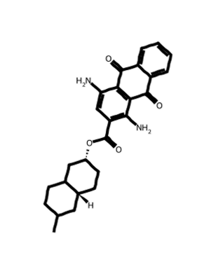 CC1CCC2C[C@H](OC(=O)c3cc(N)c4c(c3N)C(=O)c3ccccc3C4=O)CC[C@@H]2C1